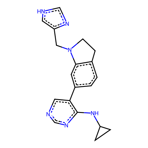 c1ncc(-c2ccc3c(c2)N(Cc2c[nH]cn2)CC3)c(NC2CC2)n1